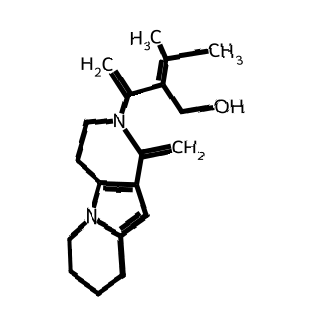 C=C(C(CO)=C(C)C)N1CCc2c(cc3n2CCCC3)C1=C